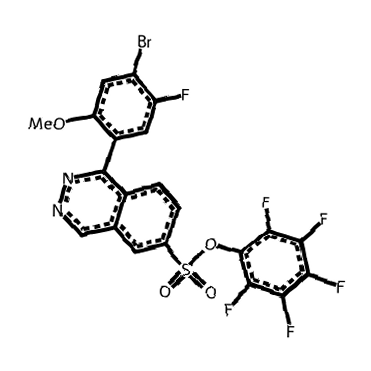 COc1cc(Br)c(F)cc1-c1nncc2cc(S(=O)(=O)Oc3c(F)c(F)c(F)c(F)c3F)ccc12